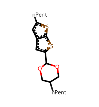 CCCCCc1cc2cc(C3OCC(CCCCC)CO3)sc2s1